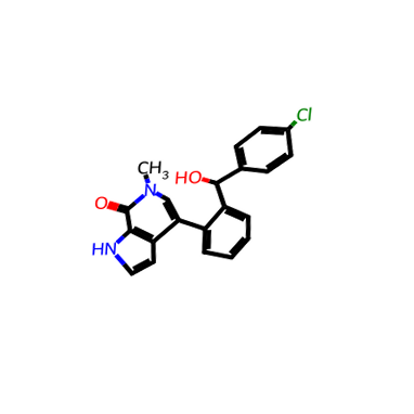 Cn1cc(-c2ccccc2C(O)c2ccc(Cl)cc2)c2cc[nH]c2c1=O